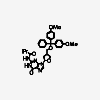 COc1ccc(C(OCC2COC(n3cnc4c(=O)[nH]c(NC(=O)C(C)C)nc43)C2)(c2ccccc2)c2ccc(OC)cc2)cc1